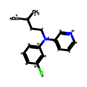 CCCCCCCCC(C)CCN(c1cccnc1)c1cccc(Cl)c1